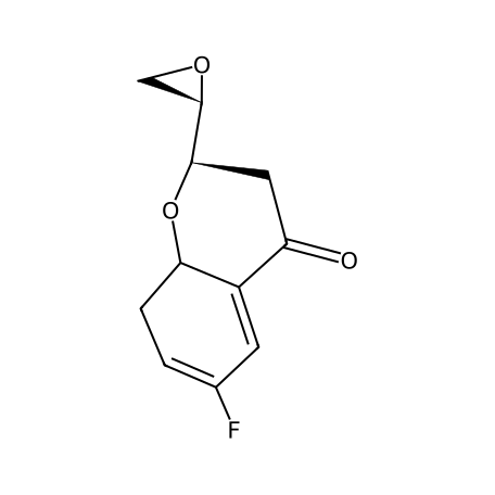 O=C1C[C@H]([C@H]2CO2)OC2CC=C(F)C=C12